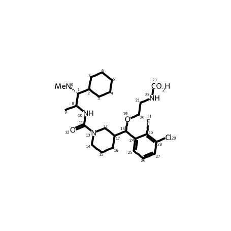 CN[C@H](C1CCCCC1)C(C)NC(=O)N1CCCC(C(OCCNC(=O)O)c2cccc(Cl)c2F)C1